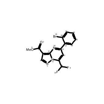 COC(=O)c1cnn2c(C(F)F)cc(-c3ccccc3Br)nc12